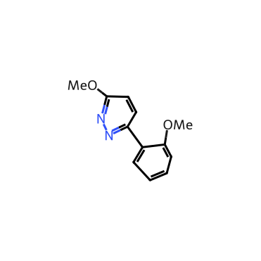 COc1ccc(-c2ccccc2OC)nn1